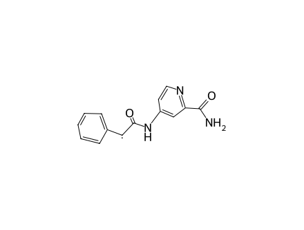 NC(=O)c1cc(NC(=O)[CH]c2ccccc2)ccn1